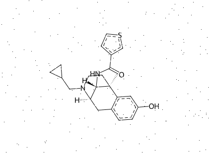 C[C@]12CCN(CC3CC3)[C@H](Cc3ccc(O)cc31)[C@@H]2NC(=O)c1ccsc1